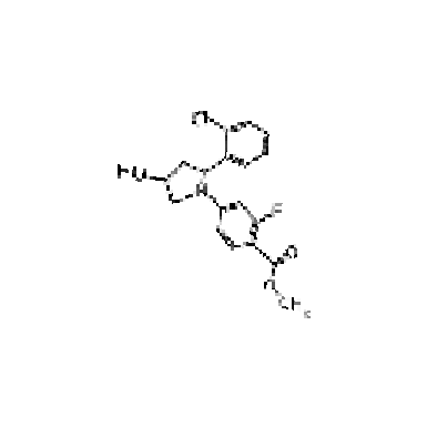 COC(=O)c1ccc(N2CC(O)CC2c2ccccc2Cl)cc1F